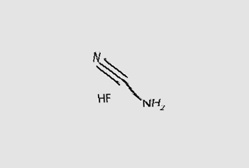 F.N#CN